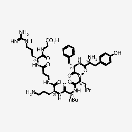 CCCC[C@H](NC(=O)[C@H](CC(C)C)N(C)C(=O)[C@H](Cc1ccccc1)NC(=O)[C@@H](N)Cc1ccc(O)cc1)C(=O)N[C@@H](CCCN)C(=O)NCCC(=O)N[C@@H](CCCNC(=N)N)C(=O)NCC(=O)O